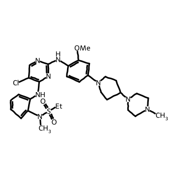 CCS(=O)(=O)N(C)c1ccccc1Nc1nc(Nc2ccc(N3CCC(N4CCN(C)CC4)CC3)cc2OC)ncc1Cl